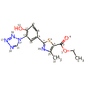 CCOC(=O)c1sc(-c2ccc(O)c(-n3cnnn3)c2)nc1C